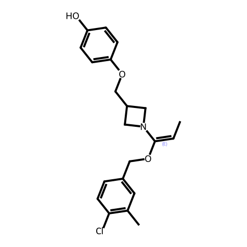 C/C=C(/OCc1ccc(Cl)c(C)c1)N1CC(COc2ccc(O)cc2)C1